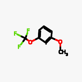 COc1[c]c(OC(F)(F)F)ccc1